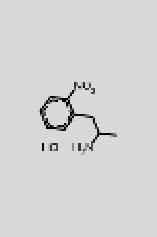 CC(N)Cc1ccccc1[N+](=O)[O-].Cl